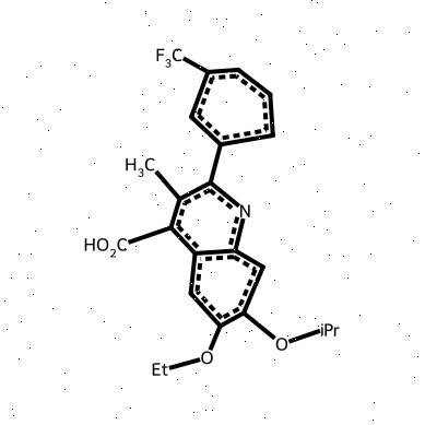 CCOc1cc2c(C(=O)O)c(C)c(-c3cccc(C(F)(F)F)c3)nc2cc1OC(C)C